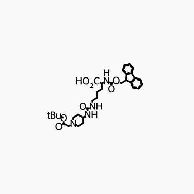 CC(C)(C)OC(=O)CN1CCC(NC(=O)NCCCCC(NC(=O)OCC2c3ccccc3-c3ccccc32)C(=O)O)CC1